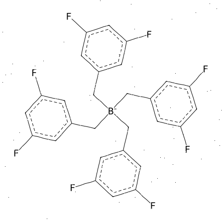 Fc1cc(F)cc(C[B-](Cc2cc(F)cc(F)c2)(Cc2cc(F)cc(F)c2)Cc2cc(F)cc(F)c2)c1